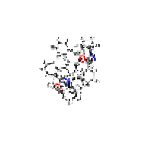 c1ccc(C2=C(c3ccccc3-c3nc4ccccc4o3)[Si](c3ccccc3)(c3ccccc3)C(c3ccccc3-c3nc4ccccc4o3)=C2c2ccccc2)cc1